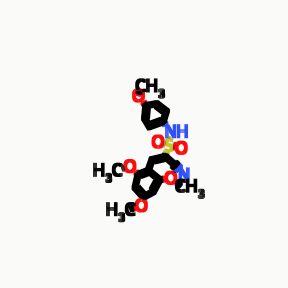 COc1ccc(NS(=O)(=O)C(C#N)=Cc2c(OC)cc(OC)cc2OC)cc1